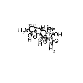 CN(C)[C@@H]1C(O)=C(C(N)=O)C(=O)[C@@]2(O)C(O)=C3C(=O)c4c(ccc(N)c4O)C[C@@H]3C[C@@H]12